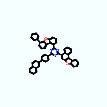 c1ccc(-c2cccc3c2oc2cccc(-c4nc(-c5ccc(-c6ccc7ccccc7c6)cc5)nc(-c5cc6oc7ccccc7c6c6ccccc56)n4)c23)cc1